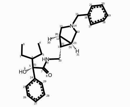 CCC(CC)[C@@](O)(C(=O)NC[C@@H]1[C@H]2CN(Cc3ccccc3)C[C@@H]12)c1ccccc1